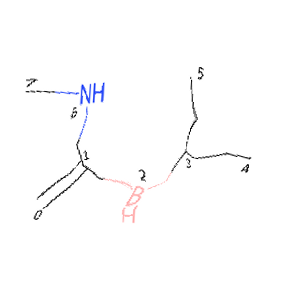 C=C(BC(C)C)NC